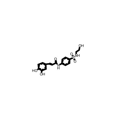 O=C(C=Cc1ccc(O)c(O)c1)Nc1ccc(S(=O)(=O)NCCO)cc1